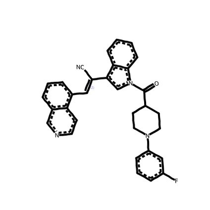 N#C/C(=C\c1cccc2cnccc12)c1cn(C(=O)C2CCN(c3cccc(F)c3)CC2)c2ccccc12